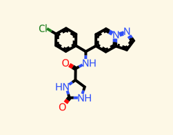 O=C1NCC(C(=O)NC(c2ccc(Cl)cc2)c2ccn3nccc3c2)N1